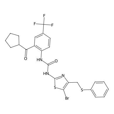 O=C(Nc1nc(CSc2ccccc2)c(Br)s1)Nc1ccc(C(F)(F)F)cc1C(=O)C1CCCC1